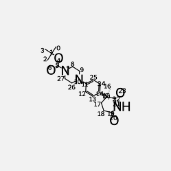 CC(C)(C)OC(=O)N1CCN(c2ccc([C@]3(C)CCC(=O)NC3=O)cc2)CC1